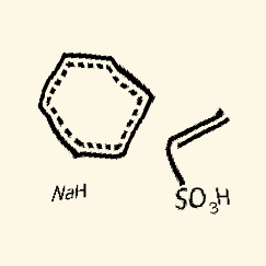 C=CS(=O)(=O)O.[NaH].c1ccccc1